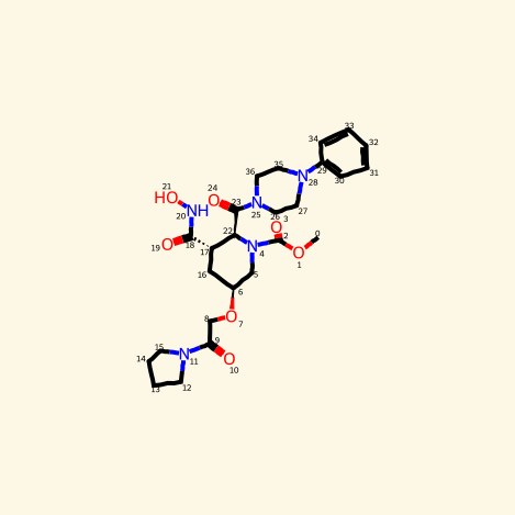 COC(=O)N1C[C@@H](OCC(=O)N2CCCC2)C[C@H](C(=O)NO)[C@H]1C(=O)N1CCN(c2ccccc2)CC1